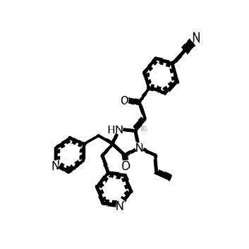 C=CCN1C(=O)C(Cc2ccncc2)(Cc2ccncc2)N/C1=C\C(=O)c1ccc(C#N)cc1